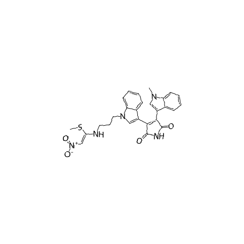 CS/C(=C\[N+](=O)[O-])NCCCn1cc(C2=C(c3cn(C)c4ccccc34)C(=O)NC2=O)c2ccccc21